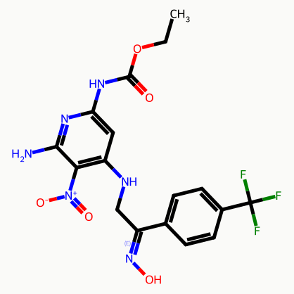 CCOC(=O)Nc1cc(NC/C(=N/O)c2ccc(C(F)(F)F)cc2)c([N+](=O)[O-])c(N)n1